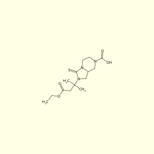 CCOC(=O)CC(C)(C)N1CC2CN(C(=O)O)CCN2C1=S